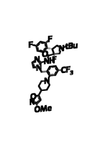 COc1cc(C2CCN(c3cc(C(F)(F)F)ccc3Cn3ccnc3NC(=O)[C@]3(F)CN(C(C)(C)C)C[C@H]3c3ccc(F)cc3F)CC2)on1